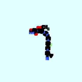 COc1cc(N2CCN(CC3CCN(c4ccc(C5CCN(c6ccc(C#N)c(C7CC7)c6)CC5)c(F)c4)CC3)CC2)cc2c1C(=O)N(C1CCC(=O)NC1=O)C2